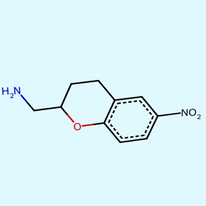 NCC1CCc2cc([N+](=O)[O-])ccc2O1